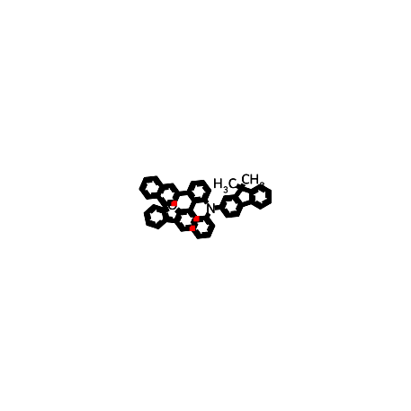 CC1(C)c2ccccc2-c2ccc(N(c3ccccc3)c3cccc(-c4ccc5ccccc5c4)c3-c3cccc4c3oc3ccccc34)cc21